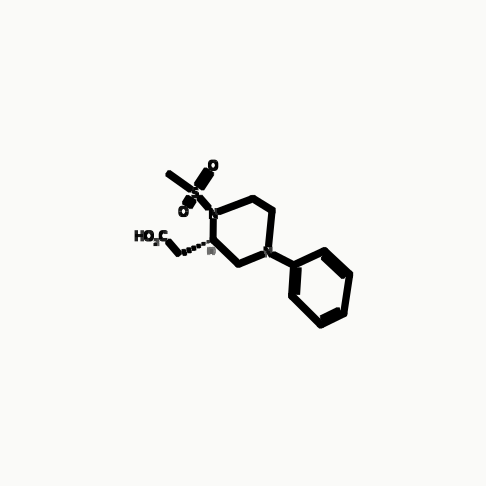 CS(=O)(=O)N1CCN(c2ccccc2)C[C@@H]1CC(=O)O